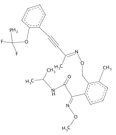 CO/N=C(/C(=O)NC(C)C)c1cccc(C)c1CO/N=C(\C)C#Cc1ccccc1OC(F)(F)P